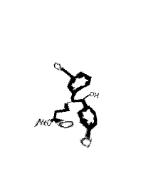 COC(=O)CCC[C@H](c1cccc(Cl)c1)[C@@H](O)c1ccc(Cl)cc1